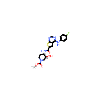 CC(C)(C)OC(=O)N1CC[C@H](NC(=O)c2cc3c(Nc4ccc(F)cc4)ncnc3s2)[C@@H](O)C1